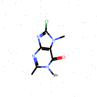 Cc1nc2nc(Cl)n(C)c2c(=O)n1C(C)C